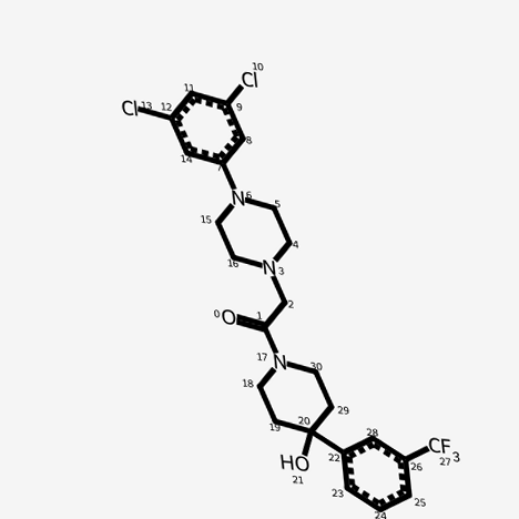 O=C(CN1CCN(c2cc(Cl)cc(Cl)c2)CC1)N1CCC(O)(c2cccc(C(F)(F)F)c2)CC1